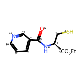 CCOC(=O)[C@H](CS)NC(=O)c1cccnc1